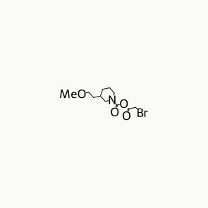 COCCC1CCCN(C(=O)OC(=O)CBr)C1